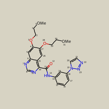 COCCOc1cc2ncnc(C(=O)Nc3cccc(-n4ccnn4)c3)c2cc1OCCOC